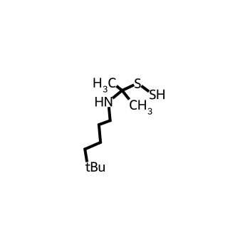 CC(C)(C)CCCCNC(C)(C)SS